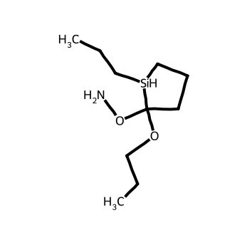 CCCOC1(ON)CCC[SiH]1CCC